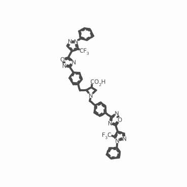 O=C(O)C1CN(Cc2ccc(-c3noc(-c4cnn(-c5ccccc5)c4C(F)(F)F)n3)cc2)C1Cc1ccc(-c2noc(-c3cnn(-c4ccccc4)c3C(F)(F)F)n2)cc1